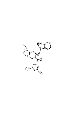 O=C(c1cc(C(F)(F)F)cc(C(F)(F)F)c1)N1CC2=CC[C@H](CCl)N2C[C@H]1Cc1c[nH]c2ccccc12